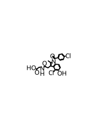 Cc1c(CC(=O)NCC(=O)O)c2c(Cl)c(O)ccc2n1C(=O)c1ccc(Cl)cc1